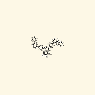 O=c1nc2c(-c3ccc(-c4cccc5c4oc4ccccc45)cc3)cc(-c3ccc(-c4cccc5c4oc4ccccc45)cc3)cn2c(=O)[nH]1